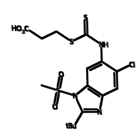 CC(C)(C)c1nc2cc(Cl)c(NC(=S)SCCC(=O)O)cc2n1S(C)(=O)=O